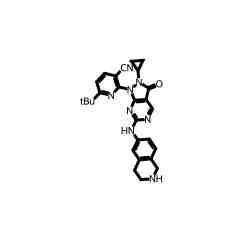 CC(C)(C)c1ccc(C#N)c(-n2c3nc(Nc4ccc5c(c4)CCNC5)ncc3c(=O)n2C2CC2)n1